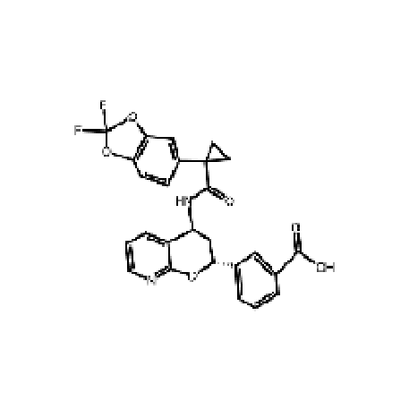 O=C(O)c1cccc([C@H]2C[C@H](NC(=O)C3(c4ccc5c(c4)OC(F)(F)O5)CC3)c3cccnc3O2)c1